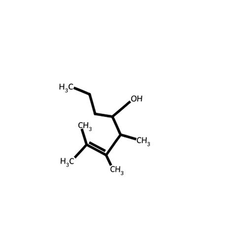 CCCC(O)C(C)C(C)=C(C)C